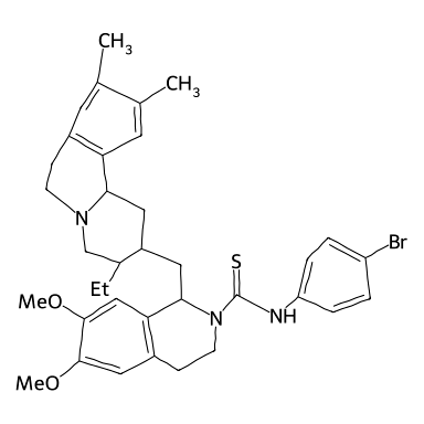 CCC1CN2CCc3cc(C)c(C)cc3C2CC1CC1c2cc(OC)c(OC)cc2CCN1C(=S)Nc1ccc(Br)cc1